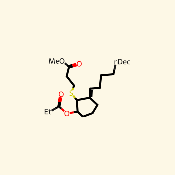 CCCCCCCCCCCCCC=C1CCCC(OC(=O)CC)C1SCCC(=O)OC